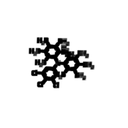 Bc1c(B)c(B)c(N(c2cc(Cl)c(Cl)c(Cl)c2)c2c(B)c(B)c(B)c(B)c2B)c(B)c1B